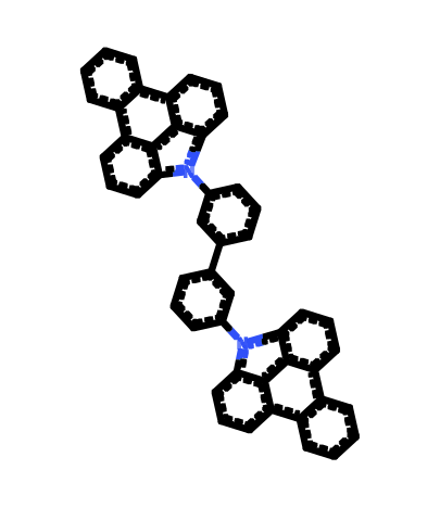 c1cc(-c2cccc(-n3c4cccc5c6ccccc6c6cccc3c6c54)c2)cc(-n2c3cccc4c5ccccc5c5cccc2c5c43)c1